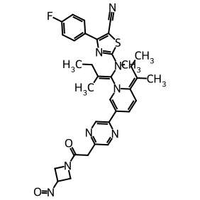 CC/C(C)=C1/C=CC(c2cnc(CC(=O)N3CC(N=O)C3)cn2)=CN1/C(=C(\C)CC)N(C)c1nc(-c2ccc(F)cc2)c(C#N)s1